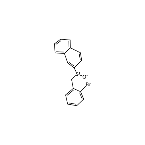 [O-][S+](Cc1ccccc1Br)c1ccc2ccccc2c1